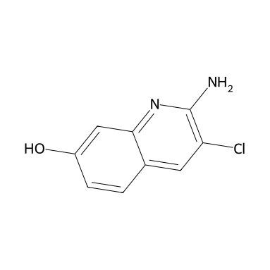 Nc1nc2cc(O)ccc2cc1Cl